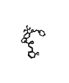 O=C(C=Cc1ccccc1Cl)N1CCc2cc(C(F)(F)F)c(OCCN3CCCCC3)cc21